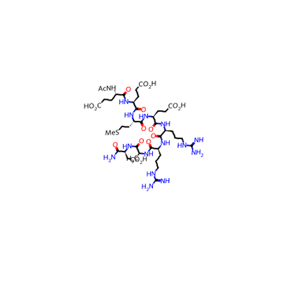 CSCC[C@H](NC(=O)[C@H](CCC(=O)O)NC(=O)[C@H](CCC(=O)O)NC(C)=O)C(=O)N[C@@H](CCC(=O)O)C(=O)N[C@@H](CCCNC(=N)N)C(=O)N[C@@H](CCCNC(=N)N)C(=O)N[C@@H](C)C(=O)N[C@@H](CC(=O)O)C(N)=O